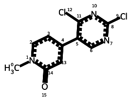 Cn1ccc(-c2cnc(Cl)nc2Cl)cc1=O